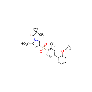 O=C(O)[C@@H]1C[C@@H](S(=O)(=O)c2ccc(-c3ccccc3OC3CC3)cc2C(F)(F)F)CN1C(=O)C1(C(F)(F)F)CC1